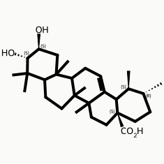 C[C@@H]1CC[C@]2(C(=O)O)CCC3(C)C(=CCC4C5(C)C[C@H](O)[C@@H](O)C(C)(C)C5CCC43C)C2[C@H]1C